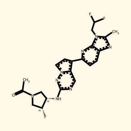 CC(=O)N1C[C@@H](F)[C@@H](Nc2ncc3c(-c4ccc5nc(C)n(CC(F)F)c5n4)ccn3n2)C1